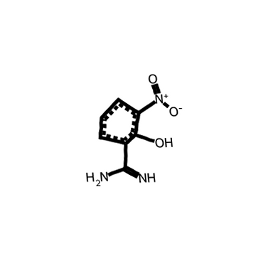 N=C(N)c1cccc([N+](=O)[O-])c1O